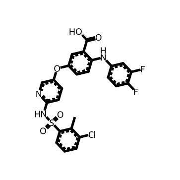 Cc1c(Cl)cccc1S(=O)(=O)Nc1ccc(Oc2ccc(Nc3ccc(F)c(F)c3)c(C(=O)O)c2)cn1